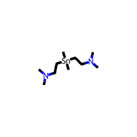 CN(C)C[CH2][Sn]([CH3])([CH3])[CH2]CN(C)C